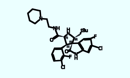 CC(C)(C)C[C@H]1N[C@@H](C(=O)NCCN2CCCCC2)[C@H](c2cccc(Cl)c2F)[C@@]12C(=O)Nc1cc(Cl)c(F)cc12